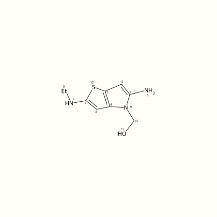 CCNc1cc2c(cc(N)n2CO)s1